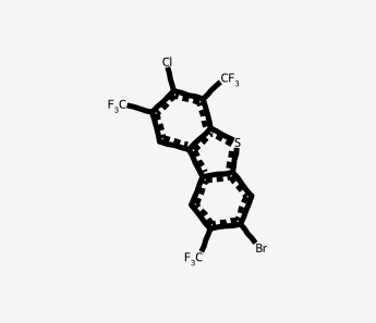 FC(F)(F)c1cc2c(cc1Br)sc1c(C(F)(F)F)c(Cl)c(C(F)(F)F)cc12